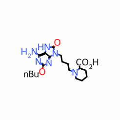 CCCCOc1nc(N)c2[nH]c(=O)n(CCCCN3CCCCC3C(=O)O)c2n1